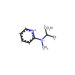 CCC(C(=O)O)N(C)c1ccccn1